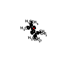 Cc1ccc(N(c2ccc(C(C)C)cc2)c2cc3c4ccccc4c(N(c4ccc(C(C)C)cc4)c4ccc([Si](C)(C)C)cc4)cc3c3ccccc23)cc1